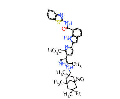 CCC1(C)CC2(C)CC(C)(CN/C(C)=C(\C=N)c3ccc(-c4cc5cccc(C(=O)Nc6nc7ccccc7s6)c5[nH]4)nc3C(=O)O)CC(N=O)(C1)C2